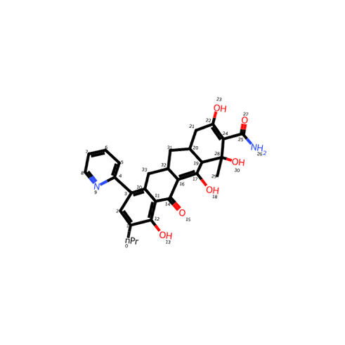 CCCc1cc(-c2ccccn2)c2c(c1O)C(=O)C1=C(O)C3C(CC(O)=C(C(N)=O)C3(C)O)CC1C2